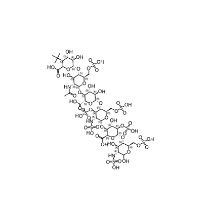 CC(=O)N[C@H]1[C@@H](O[C@H]2[C@H](O)[C@@H](O)[C@H](O[C@H]3[C@H](OS(=O)(=O)O)[C@@H](NS(=O)(=O)O)[C@@H](O[C@H]4[C@H](O)[C@@H](OS(=O)(=O)O)[C@H](O[C@H]5[C@H](O)[C@@H](NS(=O)(=O)O)C(O)O[C@@H]5COS(=O)(=O)O)O[C@H]4C(=O)O)O[C@@H]3COS(=O)(=O)O)O[C@@H]2C(=O)O)O[C@H](COS(=O)(=O)O)[C@@H](O[C@@H]2OC(C(=O)O)[C@@H](C(C)(C)C)[C@H](O)[C@H]2O)[C@@H]1O